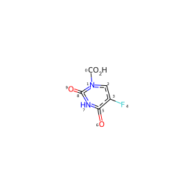 O=C(O)n1cc(F)c(=O)[nH]c1=O